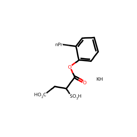 CCCc1ccccc1OC(=O)C(CC(=O)O)S(=O)(=O)O.[KH]